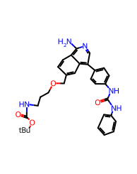 CC(C)(C)OC(=O)NCCCOCc1ccc2c(N)ncc(-c3ccc(NC(=O)Nc4ccccc4)cc3)c2c1